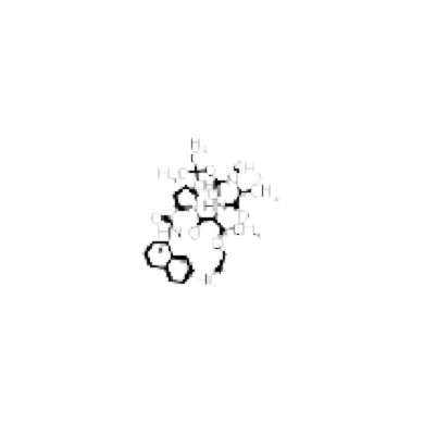 C#CCO[C@H](C)[C@H](NC(=O)[C@H](C)N(C)C(=O)OC(C)(C)C)C(=O)N1CCC[C@H]1C(=O)N[C@@H]1CCCc2ccccc21